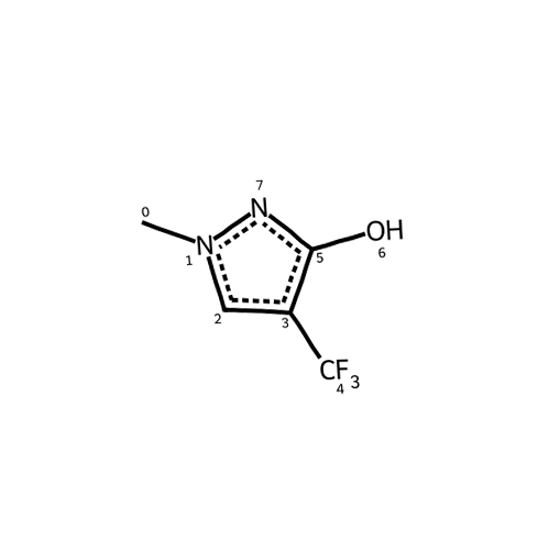 Cn1cc(C(F)(F)F)c(O)n1